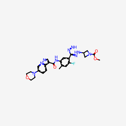 COC(=O)N1CC(N/N=C(\N=N)c2cc(NC(=O)c3cnn4cc(N5CCOCC5)ccc34)c(C)cc2F)C1